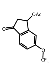 CC(=O)OC1CC(=O)c2ccc(OC(F)(F)F)cc21